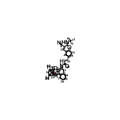 CC(C)(C)NC(=O)C(C#N)=Cc1cccc(CCC(=O)N[C@@H](Cc2ccccc2)B2O[C@@H]3C[C@@H]4C[C@@H](C4(C)C)[C@]3(C)O2)c1